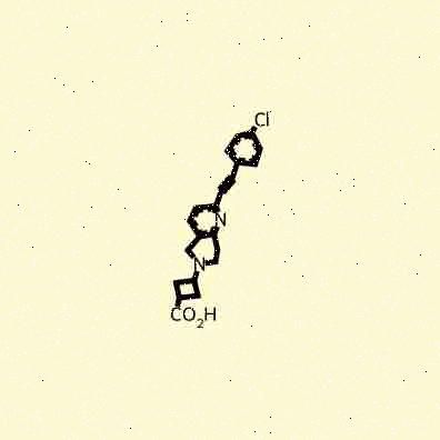 O=C(O)C1CC(N2CCc3nc(C#Cc4ccc(Cl)cc4)ccc3C2)C1